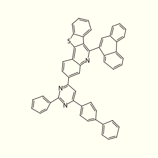 c1ccc(-c2ccc(-c3cc(-c4ccc5c(c4)nc(-c4cc6ccccc6c6ccccc46)c4c6ccccc6sc54)nc(-c4ccccc4)n3)cc2)cc1